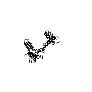 COC(=O)c1cc(CC(=O)CCC(=O)OCC(COC2[C@@H](O)[C@@H](CO)O[C@H]2n2ccc(=O)[nH]c2=O)OCCCC(F)(F)C(F)(F)C(F)(F)C(F)(F)C(F)(F)C(F)(F)F)ccc1-c1c2ccc(=O)cc-2oc2cc(OC)ccc12